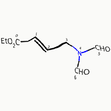 CCOC(=O)/C=C/CN(C=O)C=O